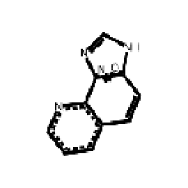 C1=CC23NC=NC2(N=CO3)c2ncccc21